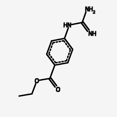 CCOC(=O)c1ccc(NC(=N)N)cc1